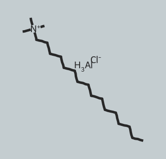 CCCCCCCCCCCCCCCC[N+](C)(C)C.[AlH3].[Cl-]